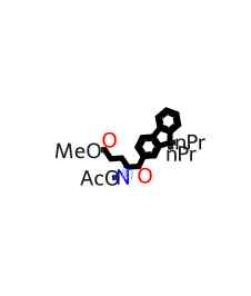 CCCC1(CCC)c2ccccc2-c2ccc(C(=O)/C(CCC(=O)OC)=N/OC(C)=O)cc21